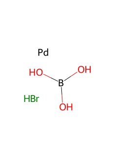 Br.OB(O)O.[Pd]